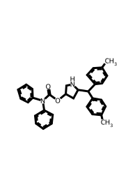 Cc1ccc(C(c2ccc(C)cc2)C2CC(OC(=O)N(c3ccccc3)c3ccccc3)CN2)cc1